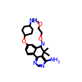 CCOCCO/N=C1\c2cc(OC3CCC(N)CC3)ccc2-c2ncnc(N)c2C1(C)C